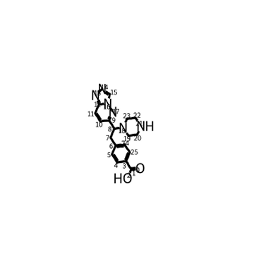 O=C(O)c1ccc(CC(c2ccc3nncn3n2)N2CCNCC2)cc1